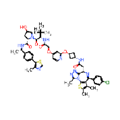 Cc1ncsc1-c1ccc([C@H](C)NC(=O)[C@@H]2C[C@@H](O)CN2C(=O)[C@@H](NC(=O)COc2ccnc(O[C@H]3C[C@H](NC(=O)C[C@@H]4N=C(c5ccc(Cl)cc5)c5c(sc(C)c5C)-n5c(C)nnc54)C3)c2)C(C)(C)C)cc1